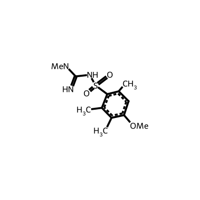 CNC(=N)NS(=O)(=O)c1c(C)cc(OC)c(C)c1C